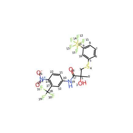 CC(O)(CSc1cccc(S(F)(F)(F)(F)F)c1)C(=O)Nc1ccc([N+](=O)[O-])c(C(F)(F)F)c1